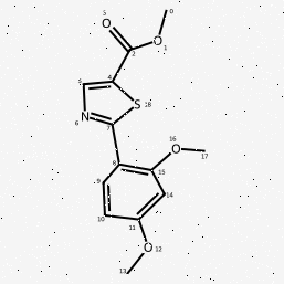 COC(=O)c1cnc(-c2ccc(OC)cc2OC)s1